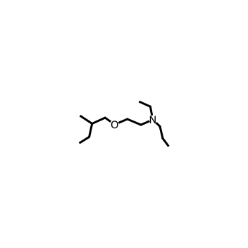 CCCN(CC)CCOCC(C)CC